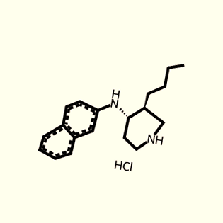 CCCC[C@H]1CNCC[C@@H]1Nc1ccc2ccccc2c1.Cl